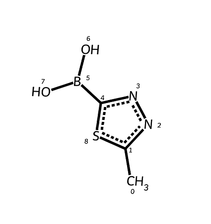 Cc1nnc(B(O)O)s1